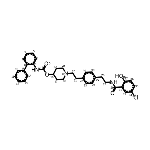 O=C(Nc1ccccc1-c1ccccc1)OC1CCN(CCc2ccc(CCNC(=O)c3cc(Cl)ccc3O)cc2)CC1